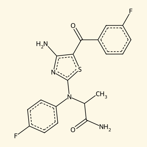 CC(C(N)=O)N(c1ccc(F)cc1)c1nc(N)c(C(=O)c2cccc(F)c2)s1